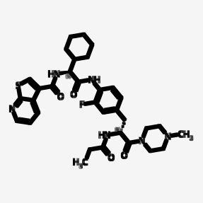 CCC(=O)N[C@H](Cc1ccc(NC(=O)[C@@H](NC(=O)c2csc3ncccc23)C2CCCCC2)c(F)c1)C(=O)N1CCN(C)CC1